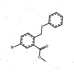 COC(=O)c1cc(Br)ccc1CSc1ccccc1